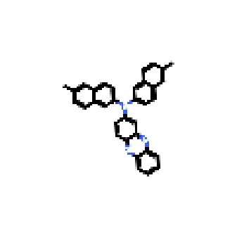 Cc1ccc2cc(N(c3ccc4cc(C)ccc4c3)c3ccc4nc5ccccc5nc4c3)ccc2c1